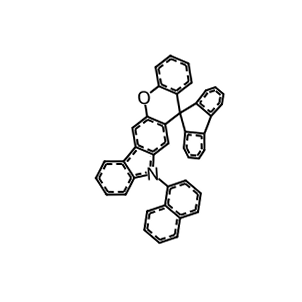 c1ccc2c(c1)Oc1cc3c4ccccc4n(-c4cccc5ccccc45)c3cc1C21c2ccccc2-c2ccccc21